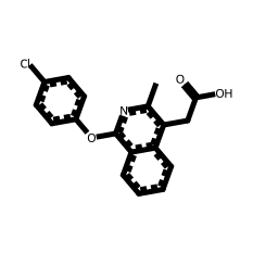 Cc1nc(Oc2ccc(Cl)cc2)c2ccccc2c1CC(=O)O